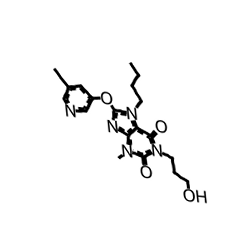 CCCCn1c(Oc2cncc(C)c2)nc2c1c(=O)n(CCCO)c(=O)n2C